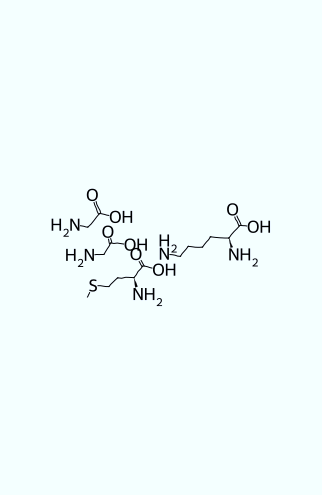 CSCC[C@H](N)C(=O)O.NCC(=O)O.NCC(=O)O.NCCCC[C@H](N)C(=O)O